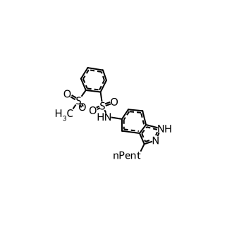 CCCCCc1n[nH]c2ccc(NS(=O)(=O)c3ccccc3S(C)(=O)=O)cc12